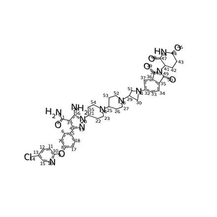 NC(=O)c1c(-c2ccc(Oc3ccc(Cl)cn3)cc2)nn(C2CCN(C3CCN(C4CN(c5ccc6c(c5)C(=O)N(C5CCC(=O)NC5=O)C6=O)C4)CC3)CC2)c1N